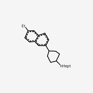 CCCCCCCC1CCC(c2ccc3cc(CC)ccc3c2)CC1